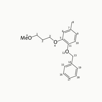 COCCCOc1cc(C)ccc1OCc1ccccc1